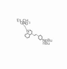 CCCCN(CCCC)c1ccc(C=Cc2cc[n+](CCCP(C)(=O)OCC)c3ccccc23)cc1